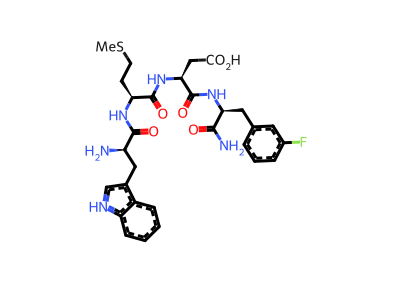 CSCC[C@H](NC(=O)[C@H](N)Cc1c[nH]c2ccccc12)C(=O)N[C@@H](CC(=O)O)C(=O)N[C@@H](Cc1cccc(F)c1)C(N)=O